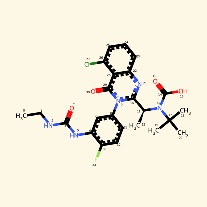 CCNC(=O)Nc1cc(-n2c([C@H](C)N(C(=O)O)C(C)(C)C)nc3cccc(Cl)c3c2=O)ccc1F